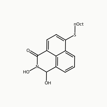 CCCCCCCCSc1ccc2c3c(cccc13)C(O)N(O)C2=O